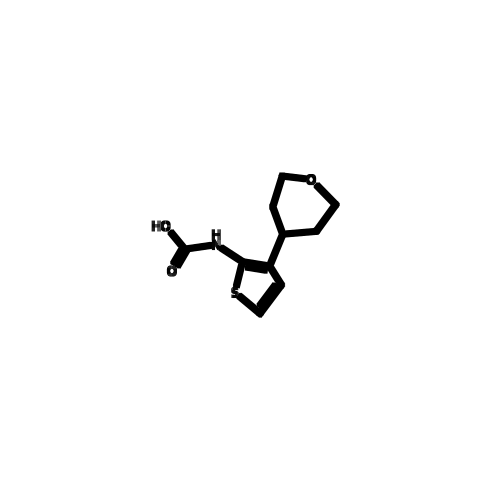 O=C(O)Nc1sccc1C1CCOCC1